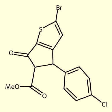 COC(=O)C1C(=O)c2sc(Br)cc2C1c1ccc(Cl)cc1